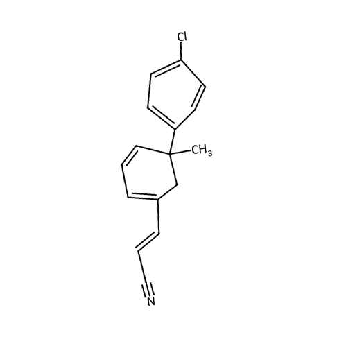 CC1(c2ccc(Cl)cc2)C=CC=C(C=CC#N)C1